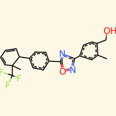 Cc1cc(-c2noc(-c3ccc(C4C=CC=CC4(C)C(F)(F)F)cc3)n2)ccc1CO